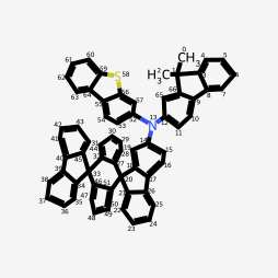 CC1(C)c2ccccc2-c2ccc(N(c3ccc4c(c3)C3(c5ccccc5-4)c4ccccc4C4(c5ccccc5-c5ccccc54)c4ccccc43)c3ccc4c(c3)sc3ccccc34)cc21